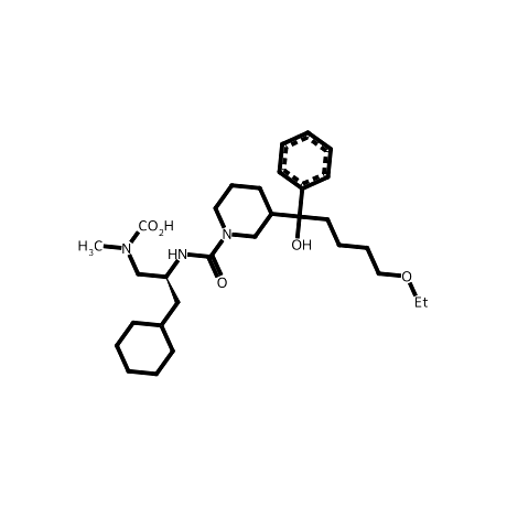 CCOCCCCC(O)(c1ccccc1)C1CCCN(C(=O)N[C@@H](CC2CCCCC2)CN(C)C(=O)O)C1